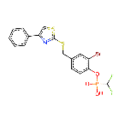 O=P(O)(Oc1ccc(CSc2nc(-c3ccccc3)cs2)cc1Br)C(F)F